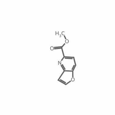 COC(=O)c1ccc2occc2n1